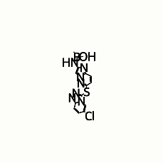 CB(O)Nc1cn2nc(Sc3nnc4ccc(Cl)cn34)ccc2n1